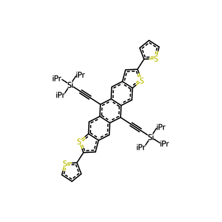 CC(C)[Si](C#Cc1c2cc3cc(-c4cccs4)sc3cc2c(C#C[Si](C(C)C)(C(C)C)C(C)C)c2cc3cc(-c4cccs4)sc3cc12)(C(C)C)C(C)C